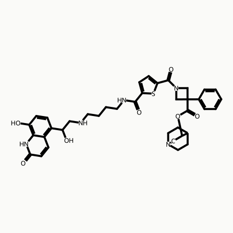 O=C(NCCCCNCC(O)c1ccc(O)c2[nH]c(=O)ccc12)c1ccc(C(=O)N2CC(C(=O)OC3CN4CCC3CC4)(c3ccccc3)C2)s1